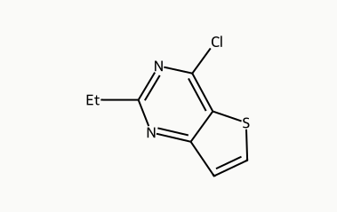 CCc1nc(Cl)c2sccc2n1